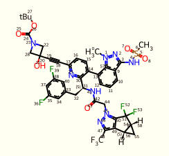 Cn1nc(NS(C)(=O)=O)c2cccc(-c3ccc(C#CC4(O)CN(C(=O)OC(C)(C)C)C4)nc3[C@H](Cc3cc(F)cc(F)c3)NC(=O)Cn3nc(C(F)(F)F)c4c3C(F)(F)[C@@H]3C[C@H]43)c21